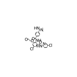 CN(C)C(=N)c1ccc(C(=O)Nc2c(OCC=O)cc(Cl)cc2C(=O)Nc2ccc(Cl)cn2)cc1